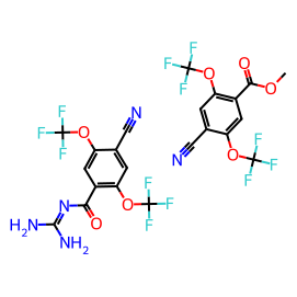 COC(=O)c1cc(OC(F)(F)F)c(C#N)cc1OC(F)(F)F.N#Cc1cc(OC(F)(F)F)c(C(=O)N=C(N)N)cc1OC(F)(F)F